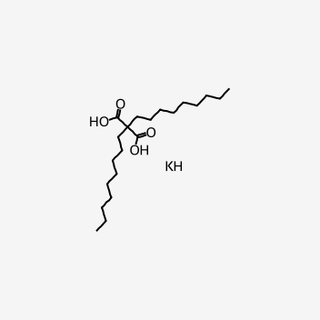 CCCCCCCCCC(CCCCCCCCC)(C(=O)O)C(=O)O.[KH]